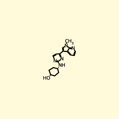 Cn1cc(-c2ccnc(N[C@H]3CC[C@H](O)CC3)n2)c2cccnc21